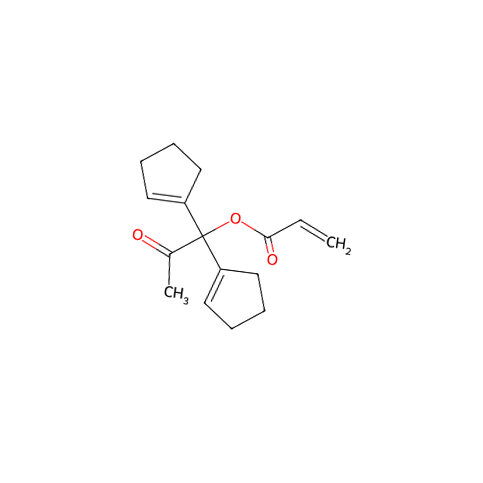 C=CC(=O)OC(C(C)=O)(C1=CCCC1)C1=CCCC1